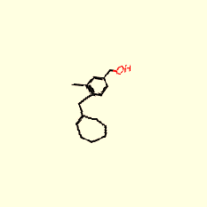 Cc1cc(CO)ccc1CC1CCCCCC1